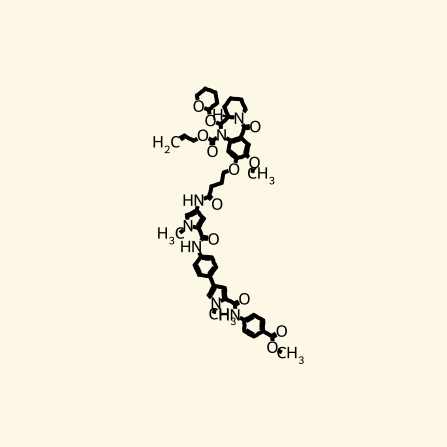 C=CCOC(=O)N1c2cc(OCCCC(=O)Nc3cc(C(=O)Nc4ccc(-c5cc(C(=O)Nc6ccc(C(=O)OC)cc6)n(C)c5)cc4)n(C)c3)c(OC)cc2C(=O)N2CCCC[C@H]2C1OC1CCCCO1